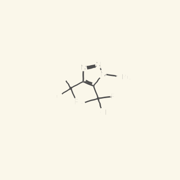 CCCCn1nnc(C(F)(F)C(F)(F)F)c1C(F)(F)C(F)(F)F